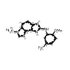 COc1ccc(C(F)(F)F)cc1Nc1nc2c(ccc3c2ncn3C)s1